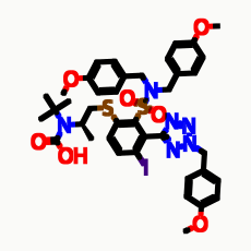 COc1ccc(CN(Cc2ccc(OC)cc2)S(=O)(=O)c2c(SC[C@@H](C)N(C(=O)O)C(C)(C)C)ccc(I)c2-c2nnn(Cc3ccc(OC)cc3)n2)cc1